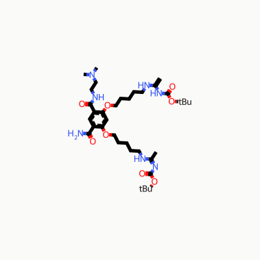 C=C(NCCCCCOc1cc(OCCCCCN/C(C)=N\C(=O)OC(C)(C)C)c(C(N)=O)cc1C(=O)NCCN(C)C)NC(=O)OC(C)(C)C